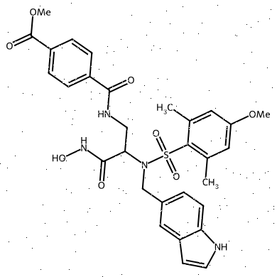 COC(=O)c1ccc(C(=O)NCC(C(=O)NO)N(Cc2ccc3[nH]ccc3c2)S(=O)(=O)c2c(C)cc(OC)cc2C)cc1